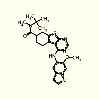 COc1cn2nccc2cc1Nc1ncnc2sc3c(c12)CCC(C(=O)N(C)C(C)(C)C)C3